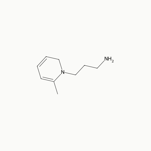 CC1=CC=CCN1CCCN